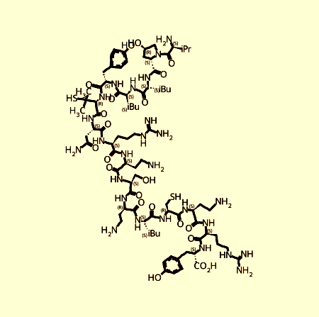 CC[C@H](C)[C@H](NC(=O)[C@@H](NC(=O)[C@@H]1C[C@@H](O)CN1C(=O)[C@@H](N)C(C)C)[C@@H](C)CC)C(=O)N[C@@H](Cc1ccc(O)cc1)C(=O)N[C@H](C(=O)N[C@@H](CC(N)=O)C(=O)N[C@@H](CCCNC(=N)N)C(=O)N[C@@H](CCN)C(=O)N[C@@H](CO)C(=O)N[C@H](CCN)C(=O)N[C@H](C(=O)N[C@@H](CS)C(=O)N[C@@H](CCN)C(=O)N[C@@H](CCCNC(=N)N)C(=O)N[C@@H](Cc1ccc(O)cc1)C(=O)O)[C@@H](C)CC)C(C)(C)S